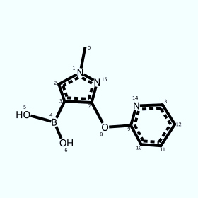 Cn1cc(B(O)O)c(Oc2ccccn2)n1